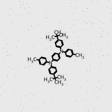 Cc1ccc(N(c2ccc(N(c3ccc(C)cc3)c3ccc(C(C)(C)C)cc3)cc2)c2ccc(C(C)(C)C)cc2)cc1